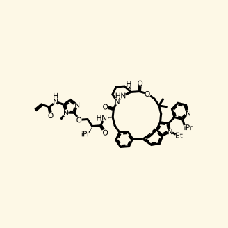 C=CC(=O)Nc1cnc(OC[C@H](C(=O)N[C@H]2Cc3cccc(c3)-c3ccc4c(c3)c(c(-c3cccnc3C(C)C)n4CC)CC(C)(C)COC(=O)[C@@H]3CCCN(N3)C2=O)C(C)C)n1C